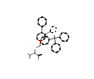 CC(C)C(NCc1ccc(-c2ccccc2)c(-c2nnnn2C(c2ccccc2)(c2ccccc2)c2ccccc2)c1)C(=O)O.Cl